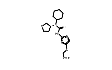 CCOC(=O)CSc1cnc(NC(=O)N(C2CCCCC2)[C@@H]2CCOC2)s1